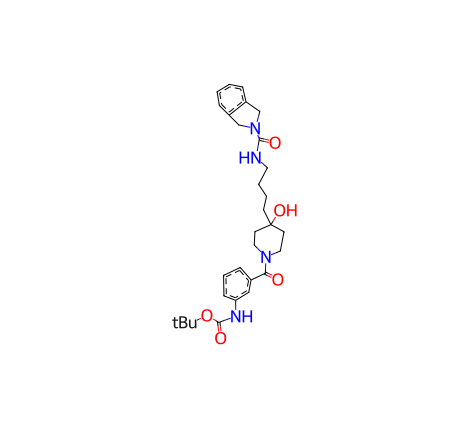 CC(C)(C)OC(=O)Nc1cccc(C(=O)N2CCC(O)(CCCCNC(=O)N3Cc4ccccc4C3)CC2)c1